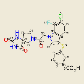 Cc1c(Sc2cccc(C(=O)O)c2)c2ccc(Cl)c(F)c2n1CC(=O)N1CC[C@]2(C1)NC(=O)NC2=O